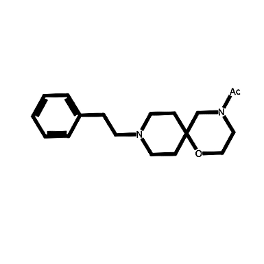 CC(=O)N1CCOC2(CCN(CCc3ccccc3)CC2)C1